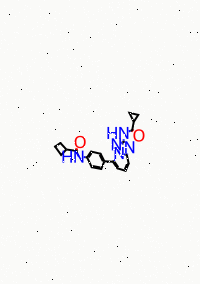 O=C(Nc1ccc(-c2cccc3nc(NC(=O)C4CC4)nn23)cc1)C1CCC1